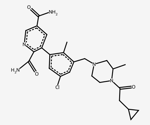 Cc1c(CN2CCN(C(=O)CC3CC3)C(C)C2)cc(Cl)cc1-c1cc(C(N)=O)cnc1C(N)=O